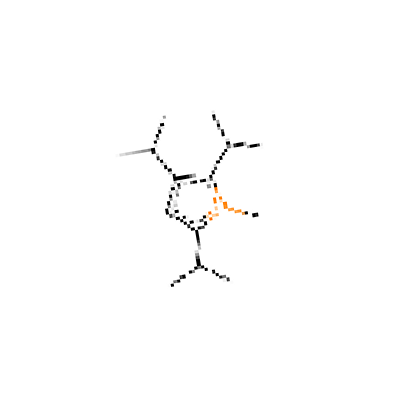 CC(C)c1cc(C(C)C)p(C)c1C(C)C